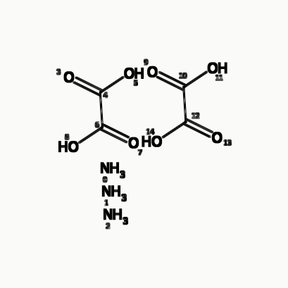 N.N.N.O=C(O)C(=O)O.O=C(O)C(=O)O